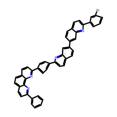 CCc1cccc(-c2ccc3ccc(-c4ccc5ccc(-c6ccc(-c7ccc8ccc9ccc(-c%10ccccc%10)nc9c8n7)cc6)nc5c4)cc3n2)c1